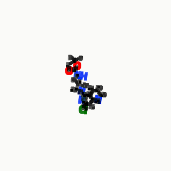 CC(C)(C)OC(=O)NCC1CN(c2nc(Cl)cc3ncccc23)C1